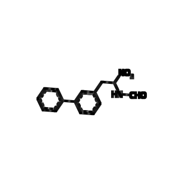 O=CNC(Cc1cccc(-c2ccccc2)c1)[N+](=O)[O-]